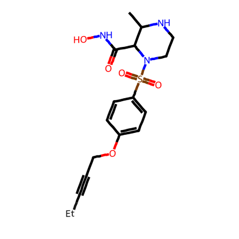 CCC#CCOc1ccc(S(=O)(=O)N2CCNC(C)C2C(=O)NO)cc1